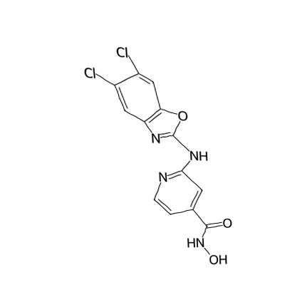 O=C(NO)c1ccnc(Nc2nc3cc(Cl)c(Cl)cc3o2)c1